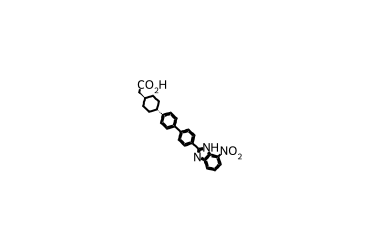 O=C(O)C[C@H]1CC[C@H](c2ccc(-c3ccc(-c4nc5cccc([N+](=O)[O-])c5[nH]4)cc3)cc2)CC1